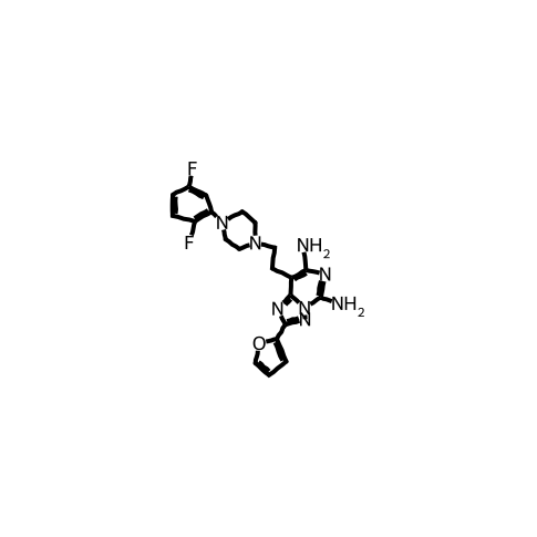 Nc1nc(N)n2nc(-c3ccco3)nc2c1CCN1CCN(c2cc(F)ccc2F)CC1